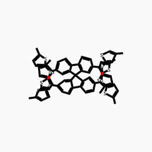 Cc1csc(N(c2ccc3c(c2)C2(c4cc(N(c5ccc(C)s5)c5ccc(C)s5)ccc4-3)c3cc(N(c4ccc(C)s4)c4ccc(C)s4)ccc3-c3ccc(N(c4ccc(C)s4)c4ccc(C)s4)cc32)c2ccc(C)s2)c1